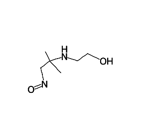 CC(C)(CN=O)NCCO